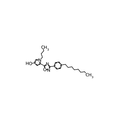 CCCCCCCCc1ccc(-c2noc(-c3cc(O)cn3CCCC)n2)cc1